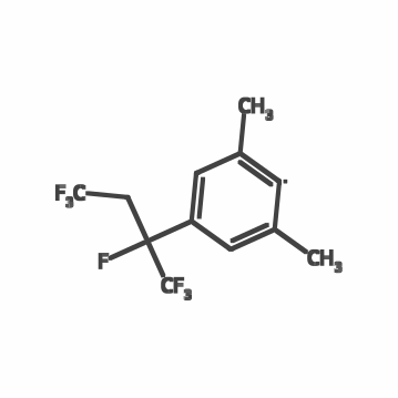 Cc1[c]c(C)cc(C(F)(CC(F)(F)F)C(F)(F)F)c1